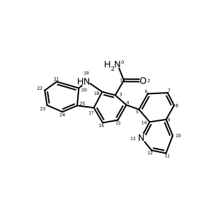 NC(=O)c1c(-c2cccc3cccnc23)ccc2c1[nH]c1ccccc12